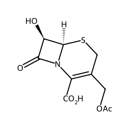 CC(=O)OCC1=C(C(=O)O)N2C(=O)[C@@H](O)[C@H]2SC1